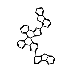 c1ccc2c(c1)-c1cc(-c3cccc4c3sc3ccccc34)ccc1B1c3ccc(-c4cccc5c4sc4ccccc45)cc3-c3ccccc3N12